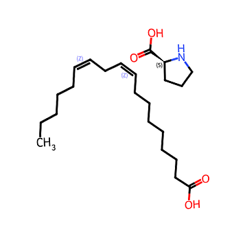 CCCCC/C=C\C/C=C\CCCCCCCC(=O)O.O=C(O)[C@@H]1CCCN1